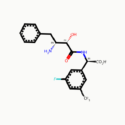 N[C@H](Cc1ccccc1)[C@H](O)C(=O)N[C@@H](C(=O)O)c1cc(F)cc(C(F)(F)F)c1